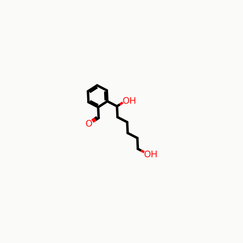 O=Cc1ccccc1C(O)CCCCCO